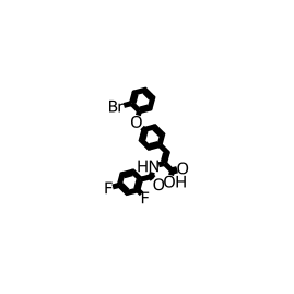 O=C(O)C(=Cc1ccc(Oc2ccccc2Br)cc1)NC(=O)c1ccc(F)cc1F